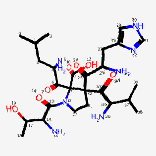 CC(C)CC(N)C(=O)C1(C(=O)O)N(C(=O)C(N)C(C)O)CCC1(C(=O)C(N)Cc1c[nH]cn1)C(=O)C(N)C(C)C